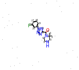 CC1(C)CNCCN1C(=O)c1nnn(-c2cccc(F)c2)n1